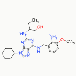 CCC(CO)Nc1nc(NCc2cccc(OC)c2N)c2ncn(C3CCCCC3)c2n1